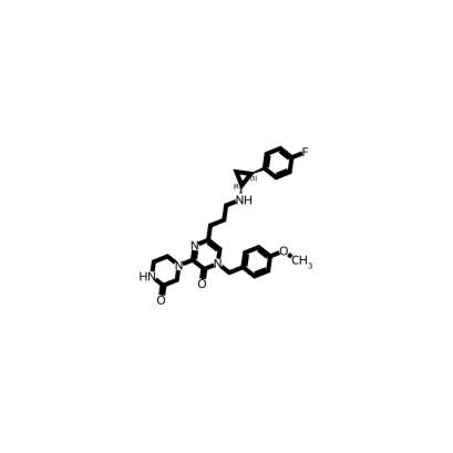 COc1ccc(Cn2cc(CCCN[C@@H]3C[C@H]3c3ccc(F)cc3)nc(N3CCNC(=O)C3)c2=O)cc1